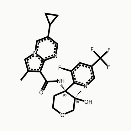 Cc1cn2cc(C3CC3)cnc2c1C(=O)N[C@@]1(c2ncc(C(F)(F)F)cc2F)CCOC[C@]1(C)O